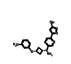 N.Oc1cc(-c2cnc(O[C@H]3C[C@@H](Oc4cccc(C(F)(F)F)c4)C3)cn2)on1